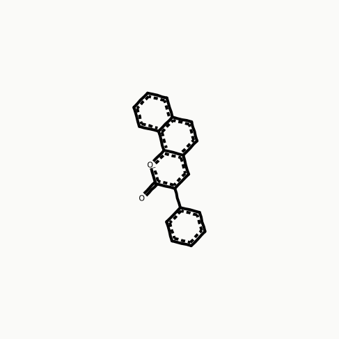 O=c1oc2c(ccc3ccccc32)cc1-c1ccccc1